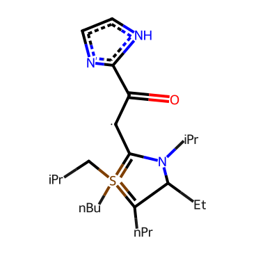 CCCCS1(CC(C)C)=C(CCC)C(CC)N(C(C)C)C=1[CH]C(=O)c1ncc[nH]1